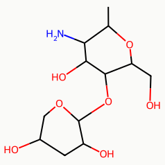 CC1OC(CO)C(OC2OCC(O)CC2O)C(O)C1N